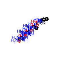 N#Cc1c2cc3ccccc3cc2cn1C(=N)NC(O)C(=O)NC(C(=O)NC(NC(=N)N)C(=O)NC(NC(=N)N)C(=O)NC(NC(=N)N)C(=O)NC(NC(=N)N)C(=O)NC(N)C(N)=O)c1ccccc1